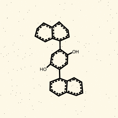 Oc1cc(-c2cccc3ccccc23)c(O)cc1-c1cccc2ccccc12